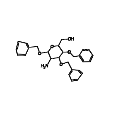 NC1C(OCc2ccccc2)OC(CO)C(OCc2ccccc2)C1OCc1ccccc1